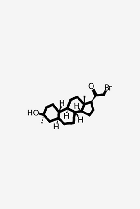 C[C@]1(O)CC[C@H]2[C@@H](CC[C@@H]3[C@@H]2CC[C@]2(C)[C@@H](C(=O)CBr)CC[C@@H]32)C1